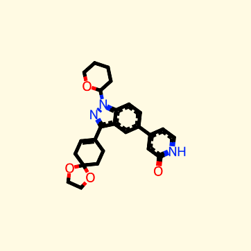 O=c1cc(-c2ccc3c(c2)c(C2=CCC4(CC2)OCCO4)nn3C2CCCCO2)cc[nH]1